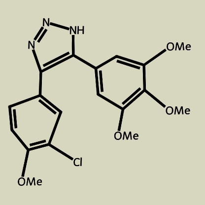 COc1ccc(-c2nn[nH]c2-c2cc(OC)c(OC)c(OC)c2)cc1Cl